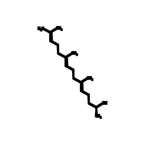 CC(C)=CCC/C(C)=C/CC/C(C)=C/CC[C@H](C)O